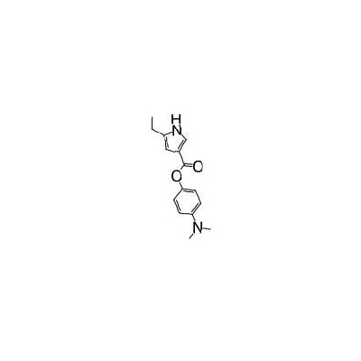 CCc1cc(C(=O)Oc2ccc(N(C)C)cc2)c[nH]1